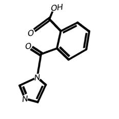 O=C(O)c1ccccc1C(=O)n1ccnc1